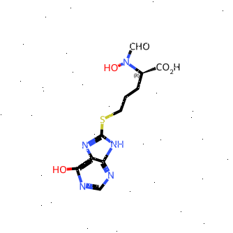 O=CN(O)[C@H](CCCSc1nc2c(O)ncnc2[nH]1)C(=O)O